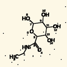 CCNC(=O)C1OC(O)C(O)C(O)C1O